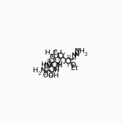 CCOc1ccc(-c2ccc(C)c3c2C[C@H]2C[C@H]4CC(O)=C(C(N)=O)C(=O)[C@@]4(O)C(I)=C2C3=O)cc1CN=NN